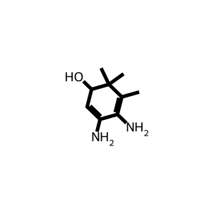 CC1=C(N)C(N)=CC(O)C1(C)C